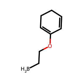 BCCOC1=CCCC=C1